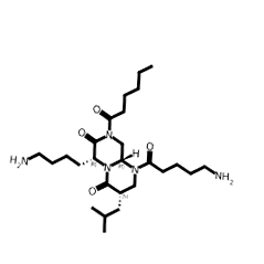 CCCCCC(=O)N1C[C@@H]2N(C(=O)CCCCN)C[C@H](CC(C)C)C(=O)N2[C@H](CCCCN)C1=O